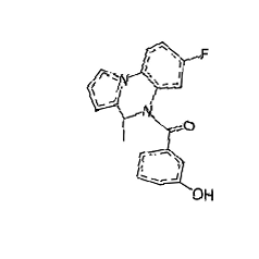 CC1c2cccn2-c2ccc(F)cc2N1C(=O)c1cccc(O)c1